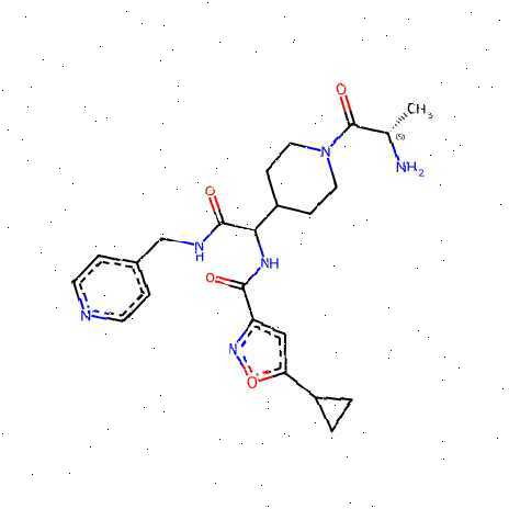 C[C@H](N)C(=O)N1CCC(C(NC(=O)c2cc(C3CC3)on2)C(=O)NCc2ccncc2)CC1